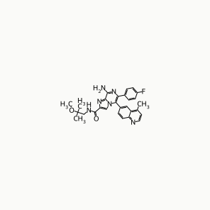 COC(C)(C)CNC(=O)c1cn2c(-c3ccc4nccc(C)c4c3)c(-c3ccc(F)cc3)nc(N)c2n1